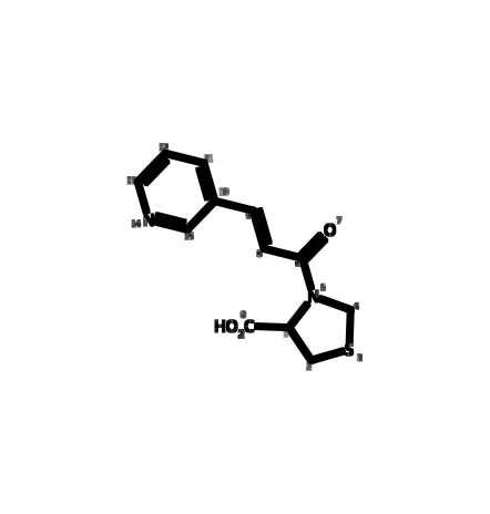 O=C(O)C1CSCN1C(=O)C=Cc1cccnc1